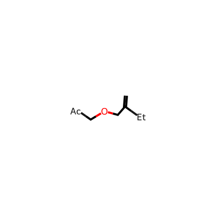 C=C(CC)COCC(C)=O